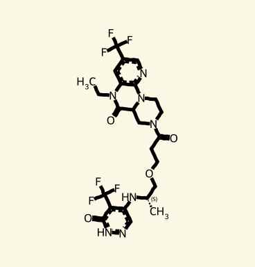 CCN1C(=O)C2CN(C(=O)CCOC[C@H](C)Nc3cn[nH]c(=O)c3C(F)(F)F)CCN2c2ncc(C(F)(F)F)cc21